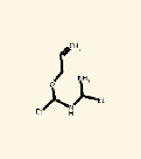 C=CCOC(CC)NC(N)CC